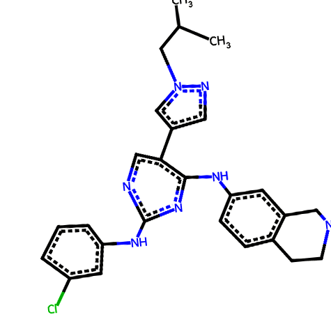 CC(C)Cn1cc(-c2cnc(Nc3cccc(Cl)c3)nc2Nc2ccc3c(c2)CNCC3)cn1